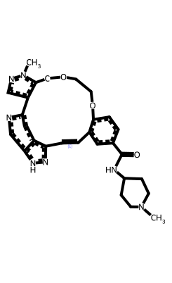 CN1CCC(NC(=O)c2ccc3c(c2)/C=C/c2n[nH]c4cnc(cc24)-c2cnn(C)c2COCCO3)CC1